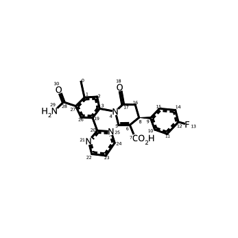 Cc1cc(N2C=C(C(=O)O)[C@H](c3ccc(F)cc3)CC2=O)c(-c2ncccn2)cc1C(N)=O